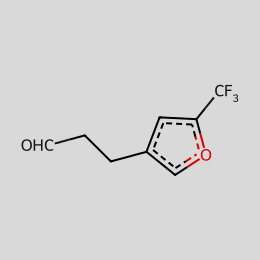 O=CCCc1coc(C(F)(F)F)c1